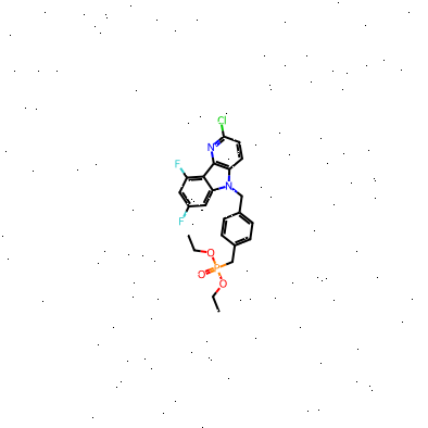 CCOP(=O)(Cc1ccc(Cn2c3ccc(Cl)nc3c3c(F)cc(F)cc32)cc1)OCC